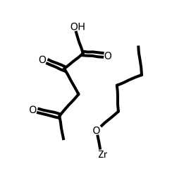 CC(=O)CC(=O)C(=O)O.CCCC[O][Zr]